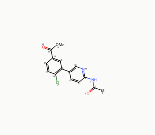 CCC(=O)Nc1ccc(-c2cc(C(=O)OC)ccc2Cl)cn1